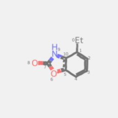 CCC1=C=C=Cc2oc(=O)[nH]c21